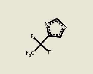 FC(F)(F)C(F)(F)c1cs[c]n1